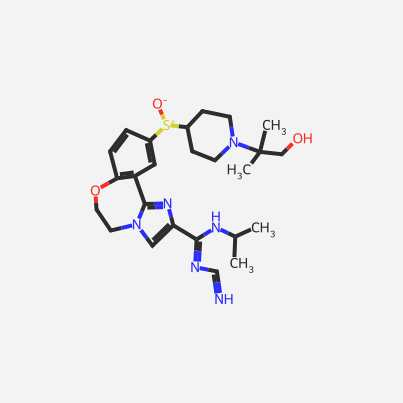 CC(C)N/C(=N\C=N)c1cn2c(n1)-c1cc([S+]([O-])C3CCN(C(C)(C)CO)CC3)ccc1OCC2